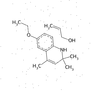 C=CCO.CCOc1ccc2c(c1)C(C)=CC(C)(C)N2